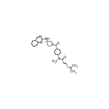 CN(C)C/C=C/C(=O)N(C)c1ccc(C(=O)N2CC[C@@H](Nc3ncc4ccccc4n3)C2)cc1